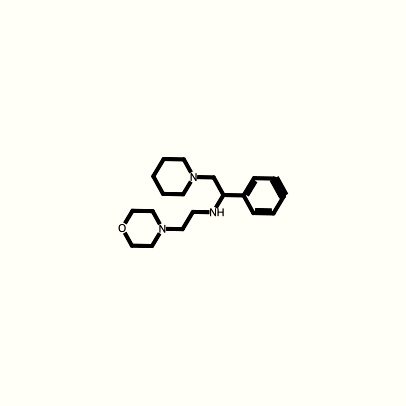 c1ccc(C(CN2CCCCC2)NCCN2CCOCC2)cc#1